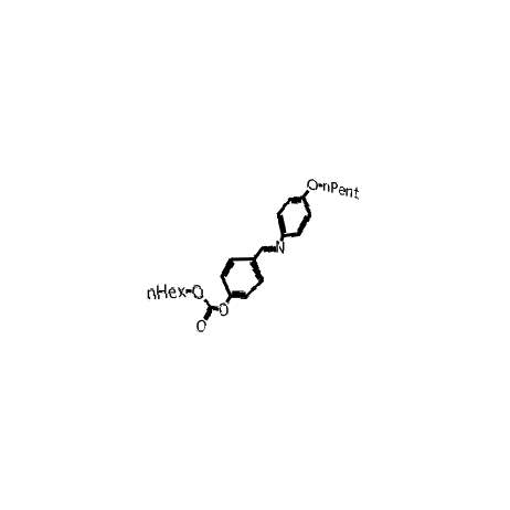 CCCCCCOC(=O)Oc1ccc(C=Nc2ccc(OCCCCC)cc2)cc1